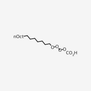 CCCCCCCCCCCCCCCOOOOC(=O)O